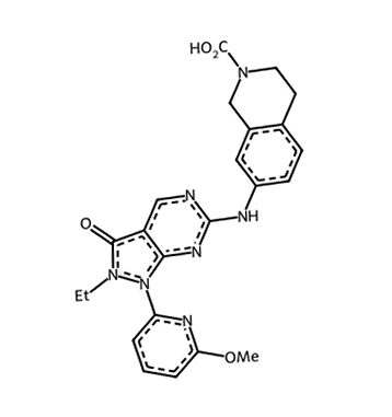 CCn1c(=O)c2cnc(Nc3ccc4c(c3)CN(C(=O)O)CC4)nc2n1-c1cccc(OC)n1